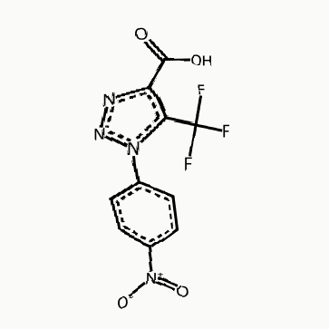 O=C(O)c1nnn(-c2ccc([N+](=O)[O-])cc2)c1C(F)(F)F